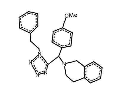 COc1ccc(C(c2nnnn2CCc2ccccc2)N2CCc3ccccc3C2)cc1